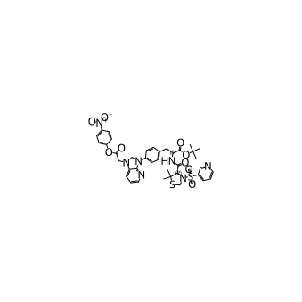 CC(C)(C)OC(=O)[C@H](Cc1ccc(N2CN(CC(=O)Oc3ccc([N+](=O)[O-])cc3)c3cccnc32)cc1)NC(=O)[C@H]1N(S(=O)(=O)c2cccnc2)CSC1(C)C